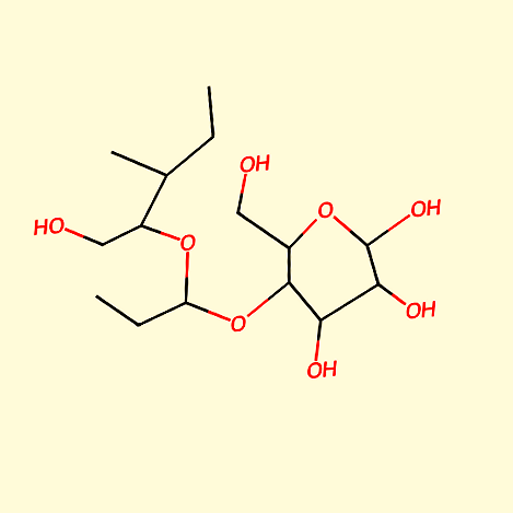 CCC(OC(CO)C(C)CC)OC1C(CO)OC(O)C(O)C1O